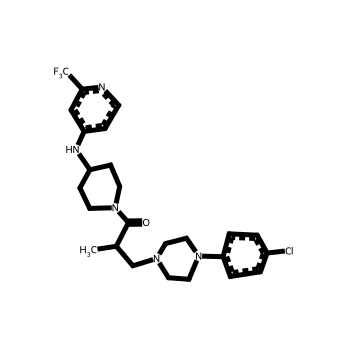 CC(CN1CCN(c2ccc(Cl)cc2)CC1)C(=O)N1CCC(Nc2ccnc(C(F)(F)F)c2)CC1